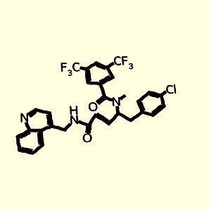 CN(C(=O)c1cc(C(F)(F)F)cc(C(F)(F)F)c1)C(C=CC(=O)NCc1ccnc2ccccc12)Cc1ccc(Cl)cc1